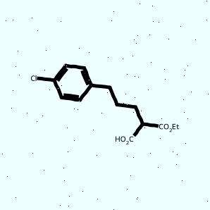 CCOC(=O)C(CCCc1ccc(Cl)cc1)C(=O)O